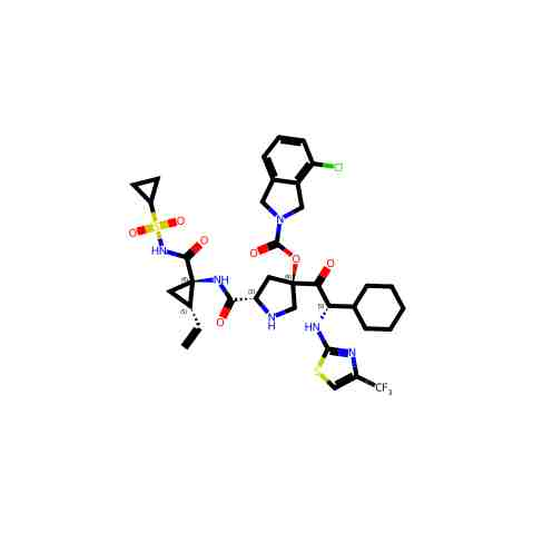 C=C[C@@H]1C[C@]1(NC(=O)[C@@H]1C[C@](OC(=O)N2Cc3cccc(Cl)c3C2)(C(=O)[C@@H](Nc2nc(C(F)(F)F)cs2)C2CCCCC2)CN1)C(=O)NS(=O)(=O)C1CC1